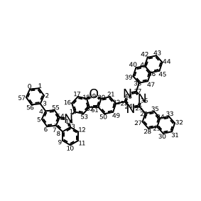 c1ccc(-c2ccc3c4ccccc4n(-c4ccc5oc6cc(-c7nc(-c8ccc9ccccc9c8)nc(-c8ccc9ccccc9c8)n7)ccc6c5c4)c3c2)cc1